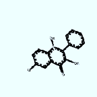 O=c1c(O)c(-c2ccccc2)n(O)c2ccc(Cl)cc12